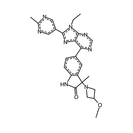 CCn1c(-c2cnc(C)nc2)nc2c(-c3ccc4c(c3)C(C)(N3CC(OC)C3)C(=O)N4)ncnc21